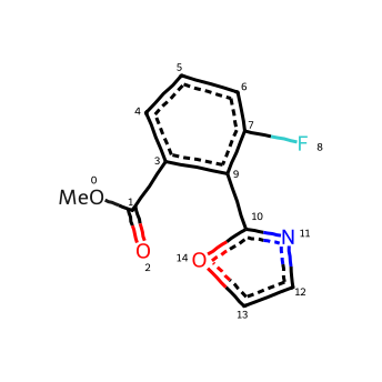 COC(=O)c1cccc(F)c1-c1ncco1